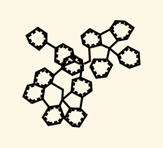 c1ccc(-c2ccc(N(Cc3cccc4c3C(c3ccccc3)(c3ccccc3)c3ccccc3-4)c3ccc4c(c3)C3(Cc5c(-c6ccccc6)ccc6cccc(c56)-c5ccccc53)c3ccccc3-4)cc2)cc1